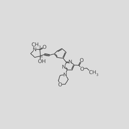 CCOC(=O)c1cc(N2CCOCC2)nc(-c2cccc(C#C[C@]3(O)CCN(C)C3=O)c2)n1